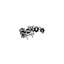 Cc1nc(OC2CCOC2)ccc1NC(=O)N1CCN(c2nc(N)nc3scnc23)C(C)C1